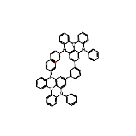 c1ccc(N2c3ccccc3B3c4ccccc4N(c4ccccc4)c4cc(-c5cccc(-c6cc7c8c(c6)N(c6ccccc6)c6ccccc6B8c6ccccc6N7c6ccccc6)c5)cc2c43)cc1